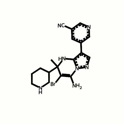 CC1(C2CCCNC2)Nc2c(-c3cncc(C#N)c3)cnn2C(N)=C1Br